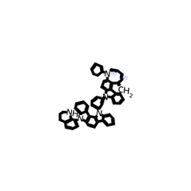 C=C1/C=C\C=C/N(C2=CC=CCC2)c2ccc3c(c21)c1ccccc1n3-c1cccc(-n2c3ccccc3c3ccc4c(c5ccccc5n4-c4cccc5c4NCCC5)c32)c1